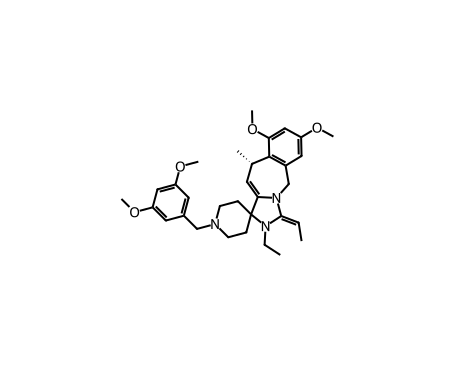 C/C=C1/N2Cc3cc(OC)cc(OC)c3[C@@H](C)C=C2C2(CCN(Cc3cc(OC)cc(OC)c3)CC2)N1CC